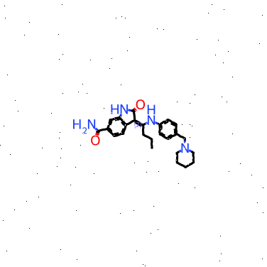 CCC/C(Nc1ccc(CN2CCCCC2)cc1)=C1/C(=O)Nc2cc(C(N)=O)ccc21